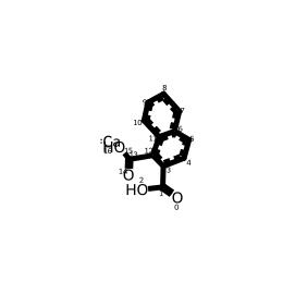 O=C(O)c1ccc2ccccc2c1C(=O)O.[Ca]